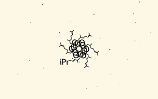 CC(C)=CCCC(C)CC(=O)OC1C(OC(=O)CC(C)/C=C/CC(C)C)C(OC(=O)CC(C)CCC=C(C)C)C(OC(=O)CC(C)CCC=C(C)C)C(OC(=O)CC(C)CCC=C(C)C)C1OC(=O)CC(C)CCC=C(C)C